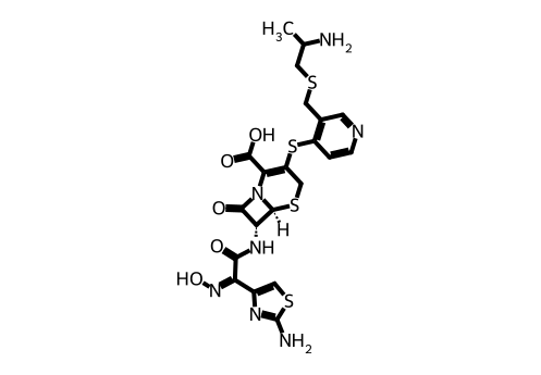 CC(N)CSCc1cnccc1SC1=C(C(=O)O)N2C(=O)[C@@H](NC(=O)/C(=N\O)c3csc(N)n3)[C@@H]2SC1